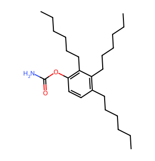 CCCCCCc1ccc(OC(N)=O)c(CCCCCC)c1CCCCCC